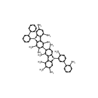 Bc1cc(B)c2c3c(B)c(-c4c(B)cc5c(c4B)c4c(B)c(B)c(B)cc4n5-c4cc(-c5ccccc5B)ccc4B)c(B)c(B)c3n(-c3ccccc3-c3ccccc3)c2c1